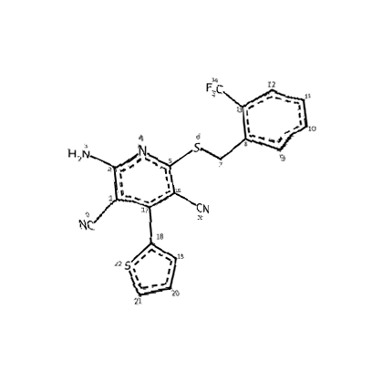 N#Cc1c(N)nc(SCc2ccccc2C(F)(F)F)c(C#N)c1-c1cccs1